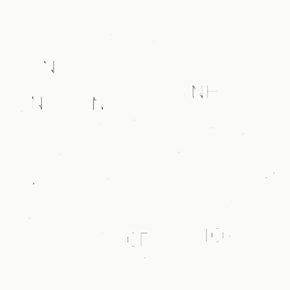 CC1(O)CCC(Nc2ccc3nnc(-c4cccc(C(F)(F)F)c4)n3c2)CC1